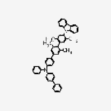 Cc1cc(-n2c3ccccc3c3ccccc32)c(C)cc1-c1c(C)cc(-c2ccc(N(c3ccccc3)c3ccc(-c4ccccc4)cc3)cc2)cc1C